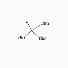 CC(C)(C)C(I)(C(C)(C)C)C(C)(C)C